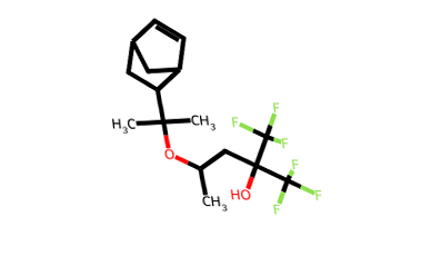 CC(CC(O)(C(F)(F)F)C(F)(F)F)OC(C)(C)C1CC2C=CC1C2